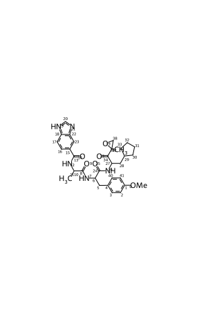 COc1ccc(CC(NC(=O)C(C)NC(=O)c2ccc3[nH]cnc3c2)C(=O)NC(CC2CCCC2)C(=O)C2(C)CO2)cc1